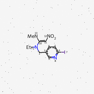 CCN(Cc1ccc(I)nc1)C(=C[N+](=O)[O-])NC